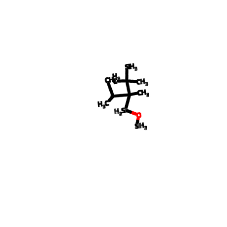 C[C](C)C(C)([SiH2]O[SiH3])C(C)(C)[SiH3]